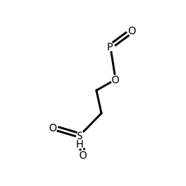 O=POCC[SH](=O)=O